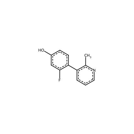 Cc1ncccc1-c1ccc(O)cc1F